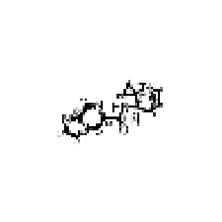 O=C(N[C@@H]1C2CCN(CC2)C12CC2)c1cn2ccnc2cn1